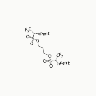 CCCCCC(C(F)(F)F)S(=O)(=O)OCCCOS(=O)(=O)C(CCCCC)C(F)(F)F